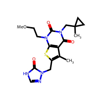 COCCn1c(=O)n(CC2(C)CC2)c(=O)c2c(C)c(Cn3nc[nH]c3=O)sc21